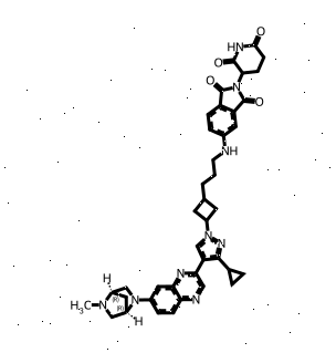 CN1C[C@H]2C[C@@H]1CN2c1ccc2ncc(-c3cn(C4CC(CCCNc5ccc6c(c5)C(=O)N(C5CCC(=O)NC5=O)C6=O)C4)nc3C3CC3)nc2c1